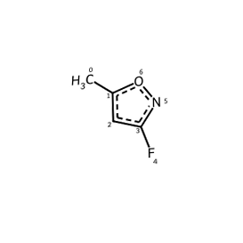 Cc1cc(F)no1